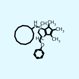 CC1=C(C)C(C)C([Si@](C)(CCCOc2ccccc2)NC2CCCCCCCCCCC2)=C1C